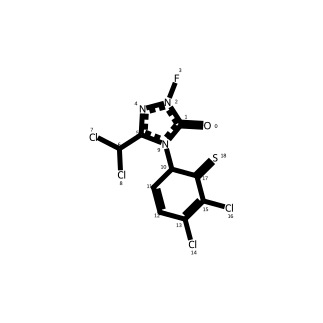 O=c1n(F)nc(C(Cl)Cl)n1C1C=CC(Cl)=C(Cl)C1=S